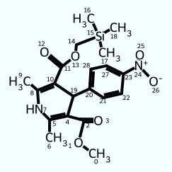 COC(=O)C1=C(C)NC(C)=C(C(=O)OC[Si](C)(C)C)C1c1ccc([N+](=O)[O-])cc1